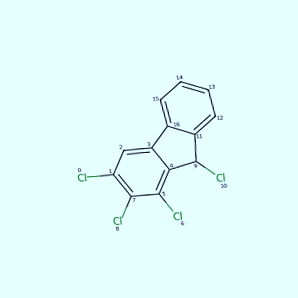 Clc1cc2c(c(Cl)c1Cl)C(Cl)c1ccccc1-2